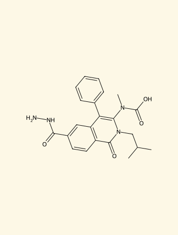 CC(C)Cn1c(N(C)C(=O)O)c(-c2ccccc2)c2cc(C(=O)NN)ccc2c1=O